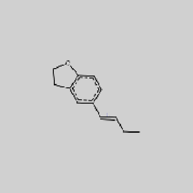 CC/C=C/c1ccc2c(c1)CCO2